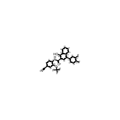 N#Cc1ccc(NC(=O)c2cc(-c3ccc(F)c(F)c3)c3ccccc3c2O)c(OC(F)(F)F)c1